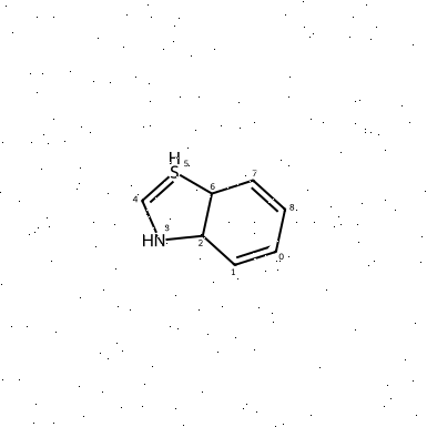 C1=CC2NC=[SH]C2C=C1